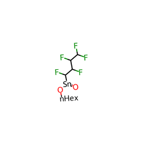 CCCCCC[O][Sn](=[O])[CH](F)C(F)C(F)C(F)F